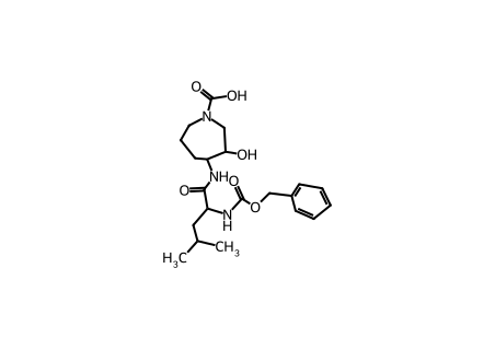 CC(C)CC(NC(=O)OCc1ccccc1)C(=O)NC1CCCN(C(=O)O)CC1O